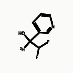 [2H]C(O)(c1cccnc1)C(F)F